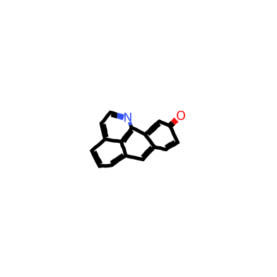 O=C1C=Cc2cc3cccc4ccnc(c2=C1)c43